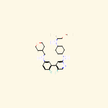 COC[C@H](C)N[C@H]1CC[C@H](Nc2cc(-c3cc(NCC4CCOCC4)ccc3F)c(F)cn2)CC1